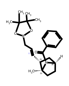 CC1(C)OB(C/C=C/[C@@H]2C[C@H]3CC[C@]2(C)N3C(=O)c2ccccc2)OC1(C)C